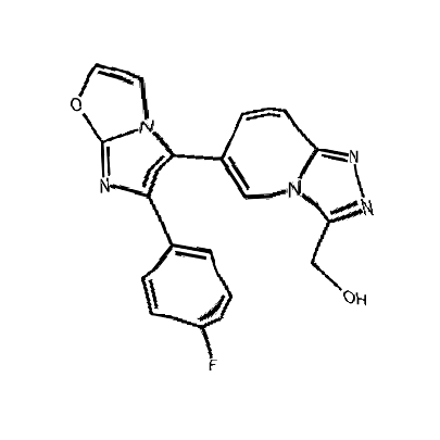 OCc1nnc2ccc(-c3c(-c4ccc(F)cc4)nc4occn34)cn12